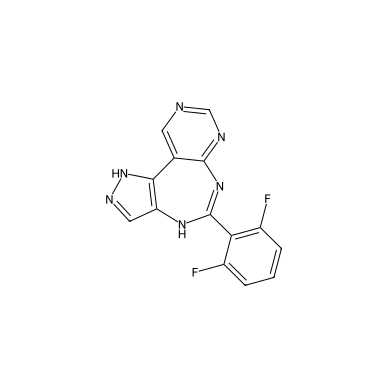 Fc1cccc(F)c1C1=Nc2ncncc2-c2[nH]ncc2N1